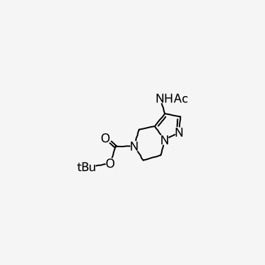 CC(=O)Nc1cnn2c1CN(C(=O)OC(C)(C)C)CC2